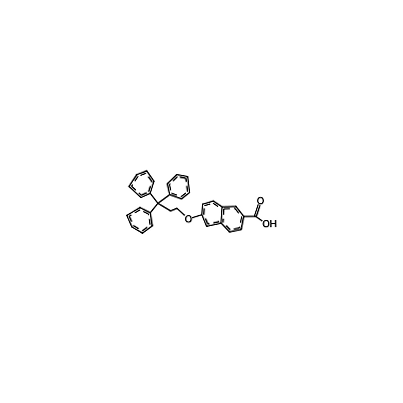 O=C(O)c1ccc2cc(OCCC(c3ccccc3)(c3ccccc3)c3ccccc3)ccc2c1